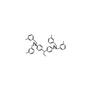 CCC(c1ccc(N(Cc2cccc(C)c2)Cc2cccc(C)c2)cc1)c1ccc(N(Cc2cccc(C)c2)Cc2cccc(C)c2)cc1